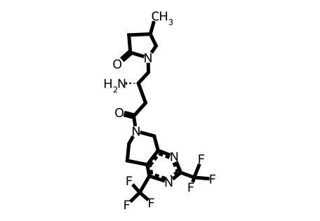 CC1CC(=O)N(C[C@@H](N)CC(=O)N2CCc3c(nc(C(F)(F)F)nc3C(F)(F)F)C2)C1